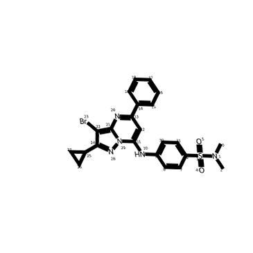 CN(C)S(=O)(=O)c1ccc(Nc2cc(-c3ccccc3)nc3c(Br)c(C4CC4)nn23)cc1